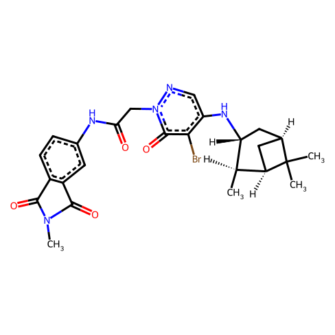 C[C@@H]1[C@H]2C[C@@H](C[C@H]1Nc1cnn(CC(=O)Nc3ccc4c(c3)C(=O)N(C)C4=O)c(=O)c1Br)C2(C)C